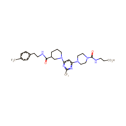 O=C(O)CCNC(=O)N1CCN(c2cc(N3CCCC(C(=O)NCCc4ccc(C(F)(F)F)cc4)C3)nc(C(F)(F)F)n2)CC1